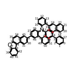 c1ccc(-c2ccc(N(c3ccccc3-c3ccc4ccccc4c3)c3ccc(-c4ccc5c(ccc6oc7ccccc7c65)c4)cc3-c3ccccc3)cc2)cc1